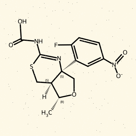 C[C@H]1OC[C@]2(c3cc([N+](=O)[O-])ccc3F)N=C(NC(=O)O)SC[C@H]12